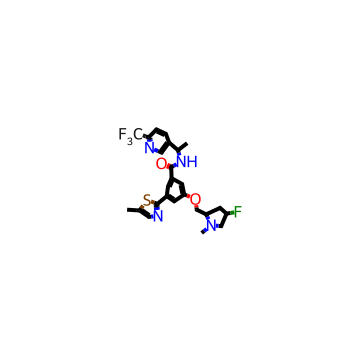 Cc1cnc(-c2cc(OCC3CC(F)CN3C)cc(C(=O)NC(C)c3ccc(C(F)(F)F)nc3)c2)s1